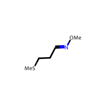 CO/N=C/CCSC